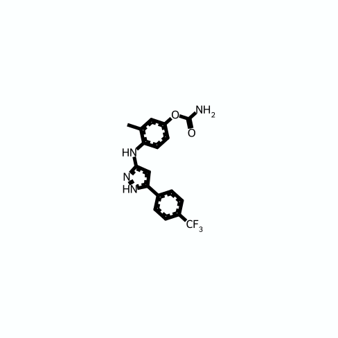 Cc1cc(OC(N)=O)ccc1Nc1cc(-c2ccc(C(F)(F)F)cc2)[nH]n1